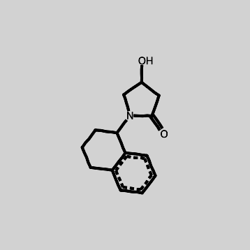 O=C1CC(O)CN1C1CCCc2ccccc21